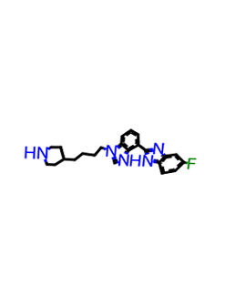 Fc1ccc2[nH]c(-c3cccc4c3ncn4CCCCC3CCNCC3)nc2c1